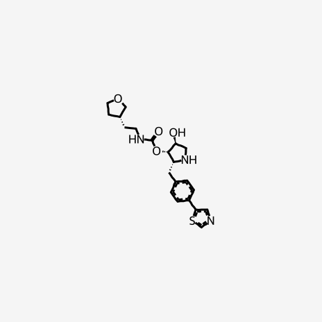 O=C(NCC[C@@H]1CCOC1)O[C@@H]1[C@@H](O)CN[C@@H]1Cc1ccc(-c2cncs2)cc1